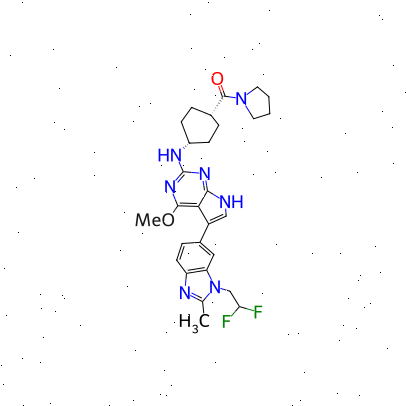 COc1nc(N[C@H]2CC[C@@H](C(=O)N3CCCC3)CC2)nc2[nH]cc(-c3ccc4nc(C)n(CC(F)F)c4c3)c12